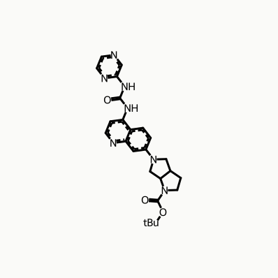 CC(C)(C)OC(=O)N1CCC2CN(c3ccc4c(NC(=O)Nc5cnccn5)ccnc4c3)CC21